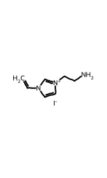 C=Cn1cc[n+](CCN)c1.[I-]